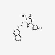 C[C@H](O)[C@@H](CCSc1ccc2ccccc2c1)NC(=O)c1c[nH]cn1